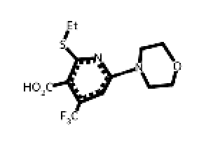 CCSc1nc(N2CCOCC2)cc(C(F)(F)F)c1C(=O)O